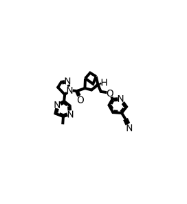 Cc1cnc(C2CC=NN2C(=O)C2C[C@@H](COc3ccc(C#N)cn3)C3CC2C3)cn1